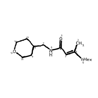 CCCCCCC(C)=CC(=O)NCC1CCOCC1